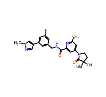 Cc1cc(N2CCC(C#N)(C(C)(C)C)C2=O)cc(C(=O)NCc2cc(F)cc(-c3cnn(C)c3)c2)n1